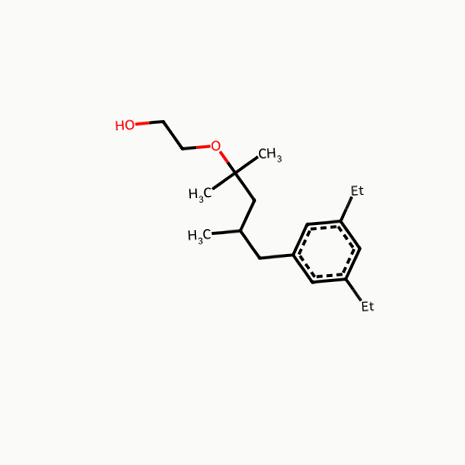 CCc1cc(CC)cc(CC(C)CC(C)(C)OCCO)c1